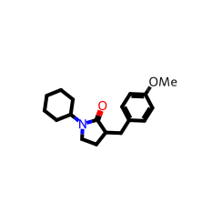 COc1ccc(CC2CCN(C3CCCCC3)C2=O)cc1